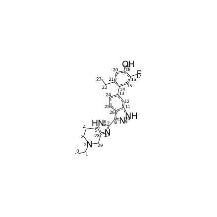 [CH2]CN1CCc2[nH]c(-c3n[nH]c4cc(-c5cc(F)c(O)cc5CC)ccc34)nc2C1